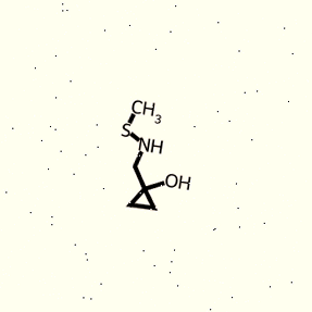 CSNCC1(O)CC1